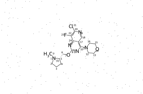 CN1CCC[C@H]1COc1nc(N2CCOCC2)c2cnc(Cl)c(F)c2n1